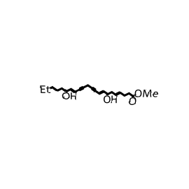 CCC=CCC(O)C=CC#CCC#CC=CC(O)CC=CCCC(=O)OC